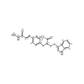 CC(=O)N(CCc1c[nH]c2ccccc12)Cc1ccc(/C=C/C(=O)NO)cc1